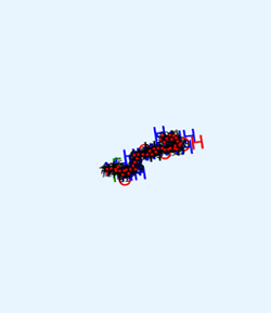 Cc1ncsc1-c1ccc([C@H](C)NC(=O)[C@@H]2C[C@@H](O)CN2C(=O)[C@@H](NC(=O)CCC(=O)NCCN2C[C@@H]3CN(CC(=O)NCc4cccc(CNc5cc(N6CCC7(CC6)CN(c6cc(F)c(CN8CCC(C)(C)CC8)cc6F)CC(=O)N7)ncn5)c4)C[C@@H]3C2)C(C)(C)C)cc1